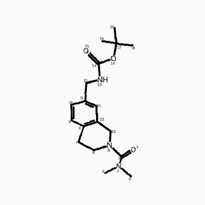 CN(C)C(=O)N1CCc2ccc(CNC(=O)OC(C)(C)C)cc2C1